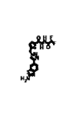 Nc1nc2ccc(-c3cn(Cc4ccc(C(=O)NNC(=O)C(F)F)s4)nn3)cc2s1